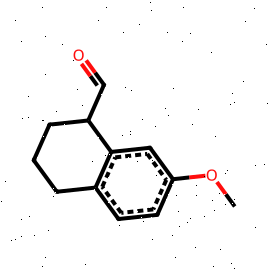 COc1ccc2c(c1)C(C=O)CCC2